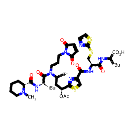 CCC(C)C(NC(=O)[C@H](CSc1nccs1)NC(=O)c1csc([C@@H](CC(C(C)C)N(CCCN2C(=O)C=CC2=O)C(=O)[C@@H](NC(=O)[C@H]2CCCCN2C)[C@@H](C)CC)OC(C)=O)n1)C(=O)O